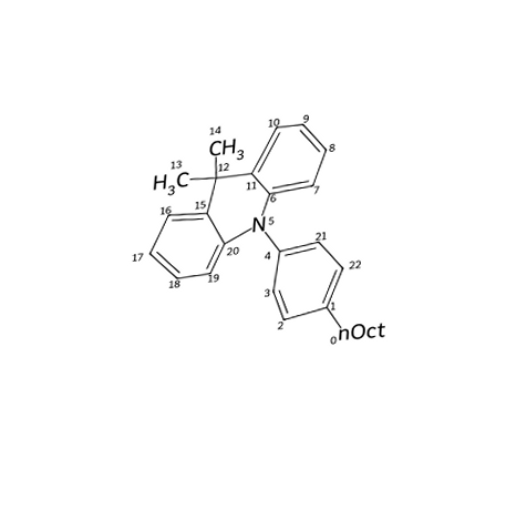 CCCCCCCCc1ccc(N2c3ccccc3C(C)(C)c3ccccc32)cc1